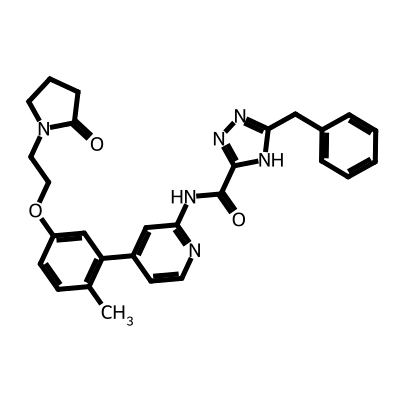 Cc1ccc(OCCN2CCCC2=O)cc1-c1ccnc(NC(=O)c2nnc(Cc3ccccc3)[nH]2)c1